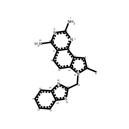 Cc1cc2c3nc(N)nc(N)c3ccc2n1Cc1nc2ccccc2s1